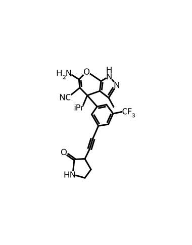 Cc1n[nH]c2c1C(c1cc(C#CC3CCNC3=O)cc(C(F)(F)F)c1)(C(C)C)C(C#N)=C(N)O2